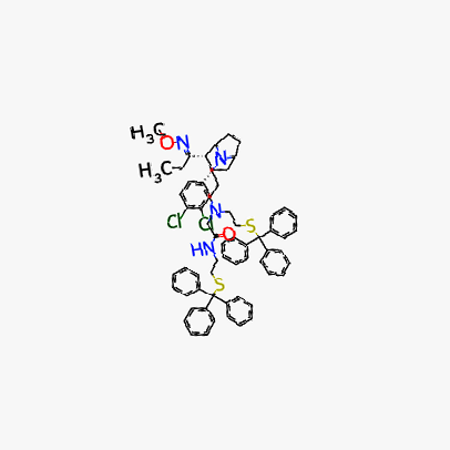 CC/C(=N\OC)[C@@H]1C2CCC(C[C@@H]1c1ccc(Cl)c(Cl)c1)N2CCCN(CCSC(c1ccccc1)(c1ccccc1)c1ccccc1)CC(=O)NCCSC(c1ccccc1)(c1ccccc1)c1ccccc1